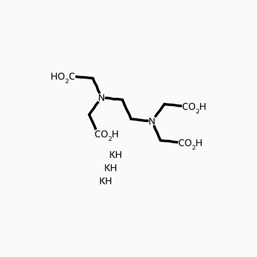 O=C(O)CN(CCN(CC(=O)O)CC(=O)O)CC(=O)O.[KH].[KH].[KH]